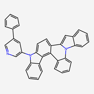 c1ccc(-c2cncc(-n3c4ccccc4c4c5c6ccccc6n6c7ccccc7cc6c5ccc43)c2)cc1